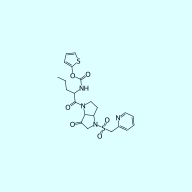 CCCC(NC(=O)Oc1cccs1)C(=O)N1CCC2C1C(=O)CN2S(=O)(=O)Cc1ccccn1